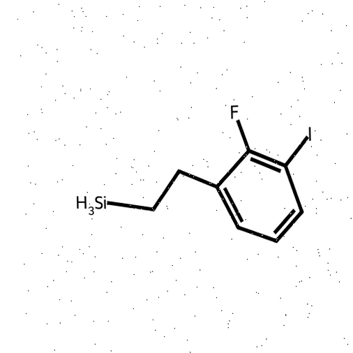 Fc1c(I)cccc1CC[SiH3]